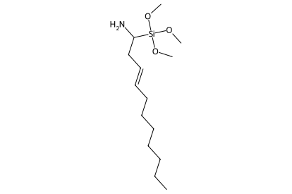 CCCCCCCC=CCC(N)[Si](OC)(OC)OC